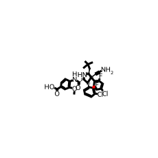 COc1cc(C(=O)O)ccc1NC(=O)[C@@H]1N[C@@H](CC(C)(C)C)[C@](C#CN)(c2ccc(Cl)cc2F)[C@H]1c1cccc(Cl)c1F